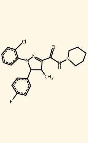 CC1C(C(=O)NN2CCCCC2)=NN(c2ccccc2Cl)C1c1ccc(F)cc1